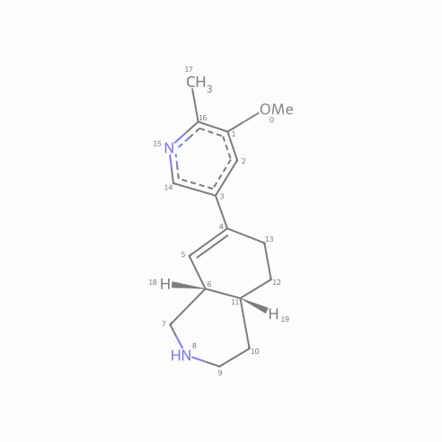 COc1cc(C2=C[C@H]3CNCC[C@H]3CC2)cnc1C